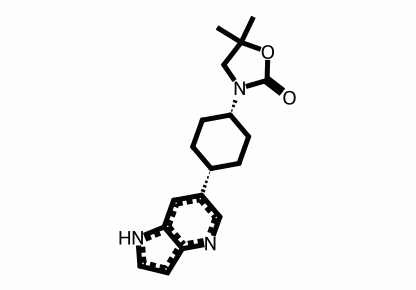 CC1(C)CN([C@H]2CC[C@@H](c3cnc4cc[nH]c4c3)CC2)C(=O)O1